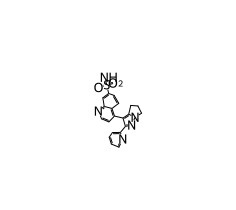 NS(=O)(=O)c1ccc2c(-c3c(-c4ccccn4)nn4c3CCC4)ccnc2c1